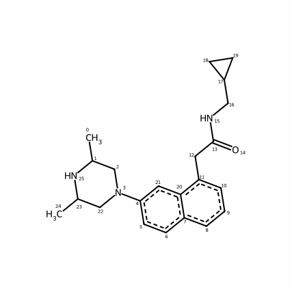 CC1CN(c2ccc3cccc(CC(=O)NCC4CC4)c3c2)CC(C)N1